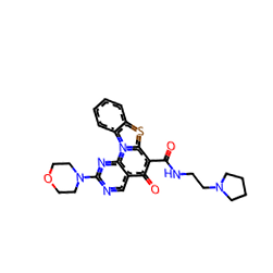 O=C(NCCN1CCCC1)c1c(=O)c2cnc(N3CCOCC3)nc2n2c1sc1ccccc12